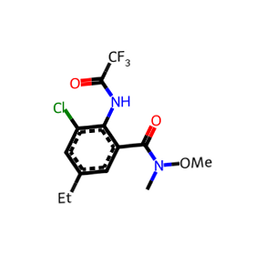 CCc1cc(Cl)c(NC(=O)C(F)(F)F)c(C(=O)N(C)OC)c1